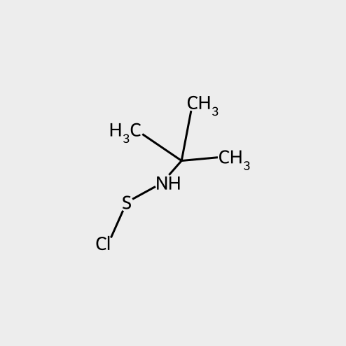 CC(C)(C)NSCl